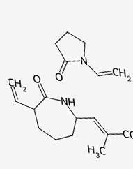 C=CC1CCCC(C=C(C)C(=O)O)NC1=O.C=CN1CCCC1=O